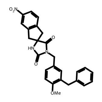 COc1ccc(CN2C(=O)NC3(Cc4ccc([N+](=O)[O-])cc4C3)C2=O)cc1Cc1ccccc1